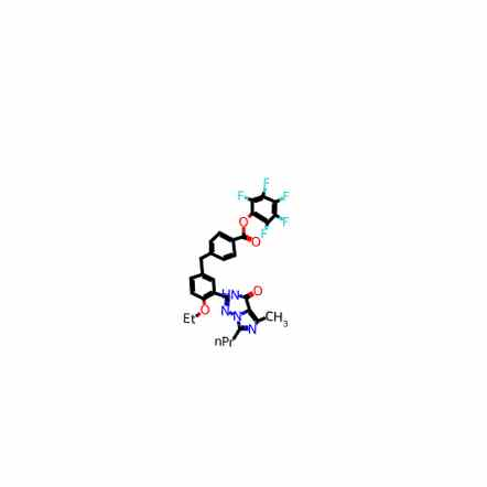 CCCc1nc(C)c2c(=O)[nH]c(-c3cc(Cc4ccc(C(=O)Oc5c(F)c(F)c(F)c(F)c5F)cc4)ccc3OCC)nn12